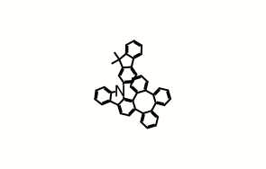 CC1(C)c2ccccc2-c2ccc(-n3c4ccccc4c4ccc5c(c43)-c3ccccc3-c3ccccc3-c3ccccc3-5)cc21